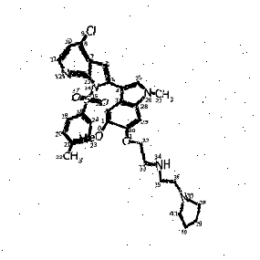 COc1cc2c(-c3cc4c(Cl)ccnc4n3S(=O)(=O)c3ccc(C)cc3)cn(C)c2cc1OCCNCCN1CCCC1